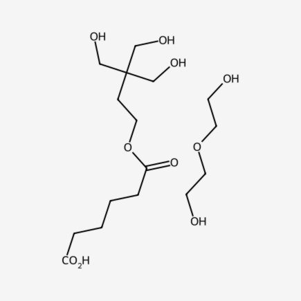 O=C(O)CCCCC(=O)OCCC(CO)(CO)CO.OCCOCCO